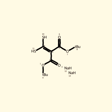 CC(C)(C)OC(=O)C(C(=O)OC(C)(C)C)=C(S)S.[NaH].[NaH]